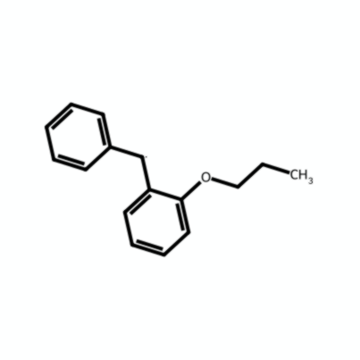 CCCOc1ccccc1[CH]c1ccccc1